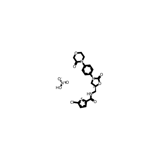 O=C(NC[C@H]1CN(c2ccc(N3CCOCC3=O)cc2)C(=O)O1)c1ccc(Cl)s1.O=[N+]([O-])O